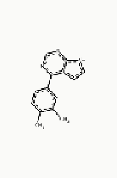 Cc1ccc(-c2ncnc3[nH]ccc23)cc1C